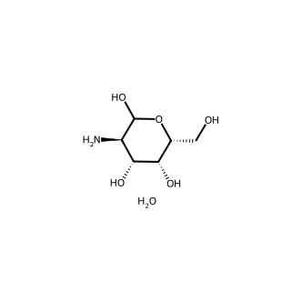 N[C@H]1C(O)O[C@H](CO)[C@H](O)[C@@H]1O.O